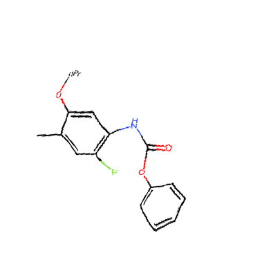 CCCOc1cc(NC(=O)Oc2ccccc2)c(F)cc1C